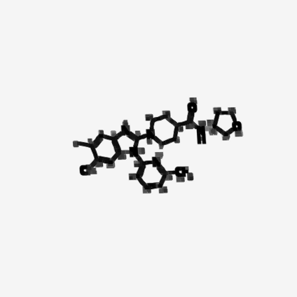 Cc1cc2nc(N3CCC(C(=O)N[C@@H]4CCOC4)CC3)n(-c3cccc(C(F)(F)F)n3)c2cc1Cl